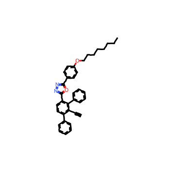 C#Cc1c(-c2ccccc2)ccc(-c2nnc(-c3ccc(OCCCCCCCC)cc3)o2)c1-c1ccccc1